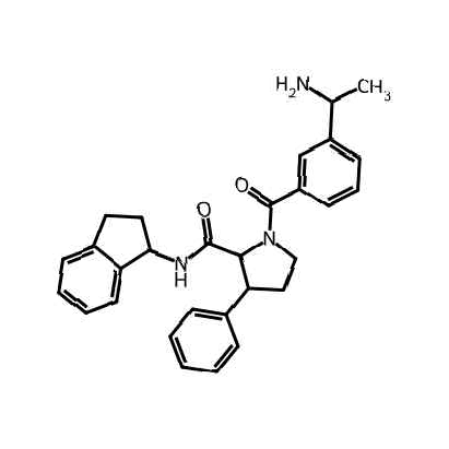 CC(N)c1cccc(C(=O)N2CCC(c3ccccc3)C2C(=O)NC2CCc3ccccc32)c1